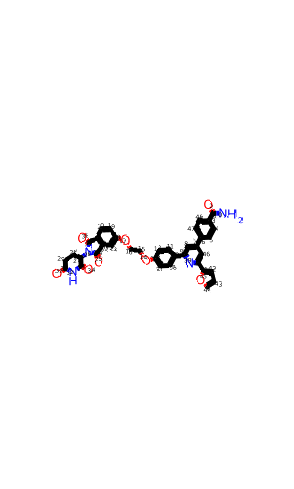 NC(=O)c1ccc(-c2cc(-c3ccc(OCCOc4ccc5c(c4)C(=O)N(C4CCC(=O)NC4=O)C5=O)cc3)nc(-c3ccco3)c2)cc1